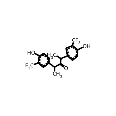 CC(C(=O)C(C)c1ccc(O)c(C(F)(F)F)c1)c1ccc(O)c(C(F)(F)F)c1